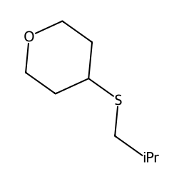 CC(C)CSC1CCOCC1